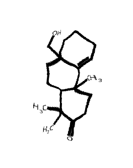 CC1(C)C(=O)CCC2(C)C3=CCCCC3(CO)CCC12